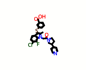 Cc1c(Sc2cccc(C(=O)O)c2)c2ccc(Cl)c(F)c2n1CC(=O)N1CCC(c2ccncc2)C1